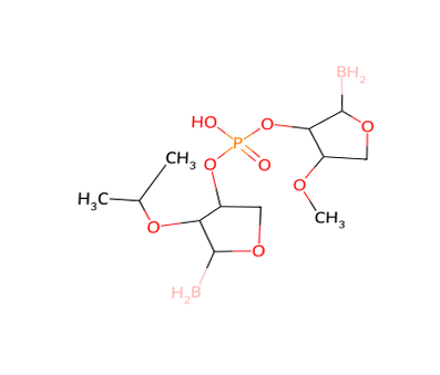 BC1OCC(OP(=O)(O)OC2C(B)OCC2OC)C1OC(C)C